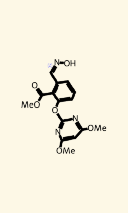 COC(=O)c1c(/C=N\O)cccc1Oc1nc(OC)cc(OC)n1